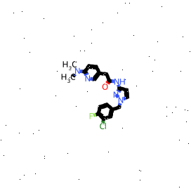 CN(C)c1ccc(CC(=O)Nc2ccn(Cc3ccc(F)c(Cl)c3)n2)cn1